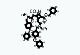 CCCN(Cc1ccc(Oc2ccccc2)cc1)C(=O)CC1C(CC(=O)N(CCC)Cc2ccc(Oc3ccccc3)cc2)C(C(=O)OCc2ccccc2)C1C(=O)O